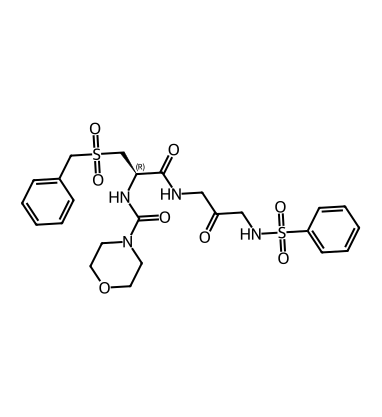 O=C(CNC(=O)[C@H](CS(=O)(=O)Cc1ccccc1)NC(=O)N1CCOCC1)CNS(=O)(=O)c1ccccc1